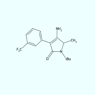 CC1C(N)=C(c2cccc(C(F)(F)F)c2)C(=O)N1C(C)(C)C